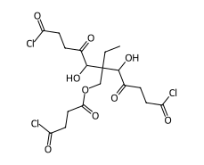 CCC(COC(=O)CCC(=O)Cl)(C(O)C(=O)CCC(=O)Cl)C(O)C(=O)CCC(=O)Cl